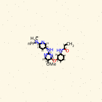 C=CC(=O)Nc1cccc(Oc2nc(Nc3ccc(N(C)CCC)nc3)ncc2OC)c1